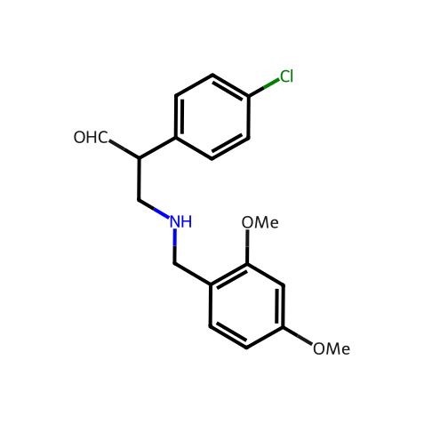 COc1ccc(CNCC(C=O)c2ccc(Cl)cc2)c(OC)c1